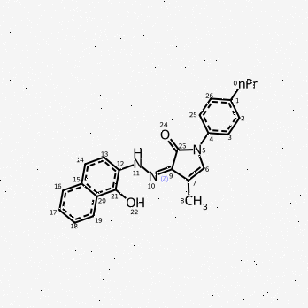 CCCc1ccc(N2C=C(C)/C(=N/Nc3ccc4ccccc4c3O)C2=O)cc1